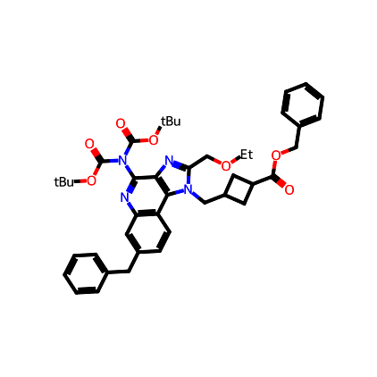 CCOCc1nc2c(N(C(=O)OC(C)(C)C)C(=O)OC(C)(C)C)nc3cc(Cc4ccccc4)ccc3c2n1CC1CC(C(=O)OCc2ccccc2)C1